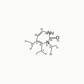 CC(C)C1=C(C(C)C)N(C(C)C)C(=O)NC=C1